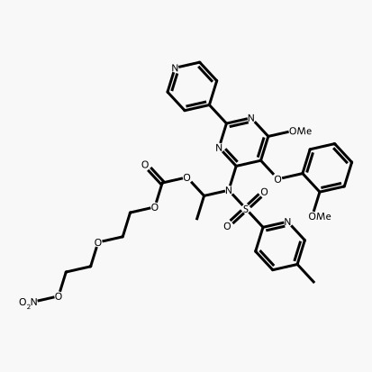 COc1ccccc1Oc1c(OC)nc(-c2ccncc2)nc1N(C(C)OC(=O)OCCOCCO[N+](=O)[O-])S(=O)(=O)c1ccc(C)cn1